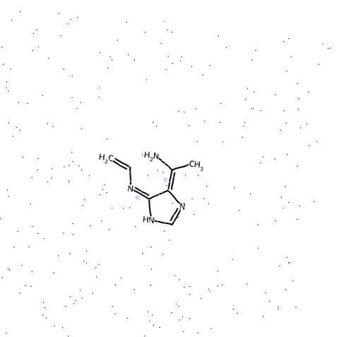 C=C/N=C1/NC=N/C1=C(\C)N